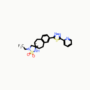 O=S1(=O)NC2(CN1CC(F)(F)F)C1CCC2Cc2cc(-c3nnc(-c4ccccn4)s3)ccc2C1